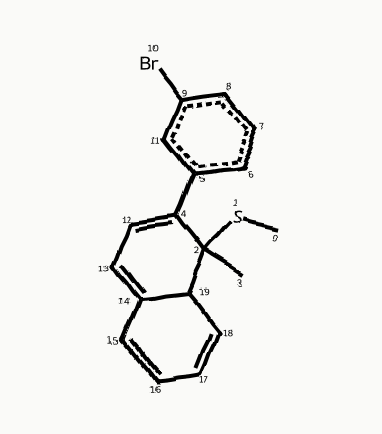 CSC1(C)C(c2cccc(Br)c2)=CC=C2C=CC=CC21